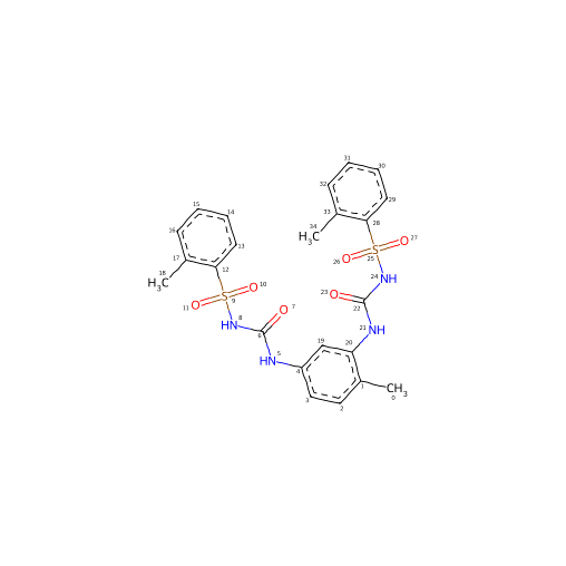 Cc1ccc(NC(=O)NS(=O)(=O)c2ccccc2C)cc1NC(=O)NS(=O)(=O)c1ccccc1C